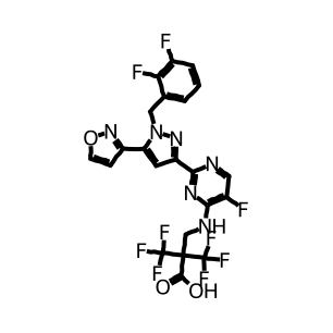 O=C(O)C(CNc1nc(-c2cc(-c3ccon3)n(Cc3cccc(F)c3F)n2)ncc1F)(C(F)(F)F)C(F)(F)F